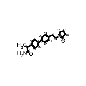 CC(C(N)=O)c1ccc(-c2ccc(CCN3CCCC3=O)cc2)cc1